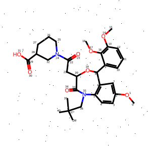 COc1ccc2c(c1)C(c1cccc(OC)c1OC)OC(CC(=O)N1CCCC(C(=O)O)C1)C(=O)N2CC(C)(C)C